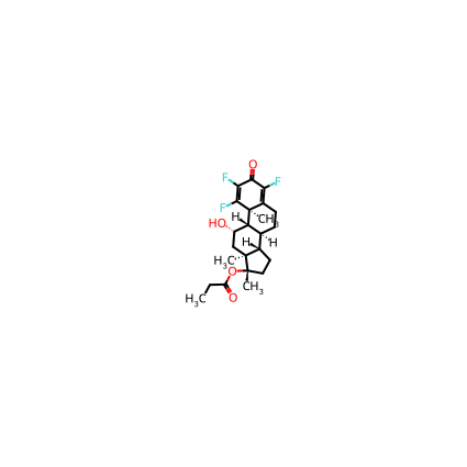 CCC(=O)O[C@@]1(C)CC[C@H]2[C@@H]3CCC4=C(F)C(=O)C(F)=C(F)[C@]4(C)[C@H]3[C@@H](O)C[C@@]21C